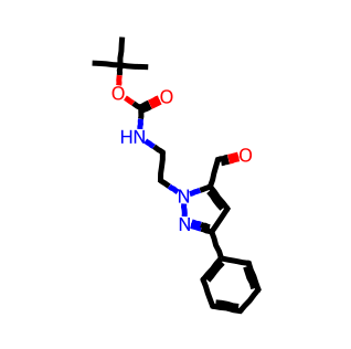 CC(C)(C)OC(=O)NCCn1nc(-c2ccccc2)cc1C=O